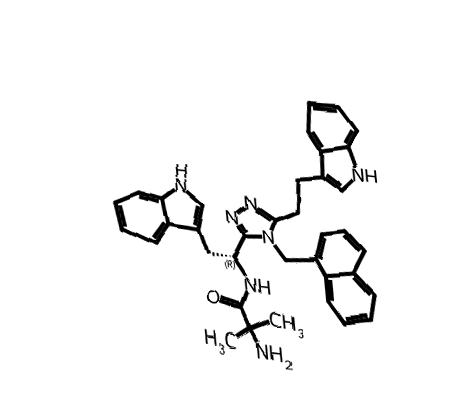 CC(C)(N)C(=O)N[C@H](Cc1c[nH]c2ccccc12)c1nnc(CCc2c[nH]c3ccccc23)n1Cc1cccc2ccccc12